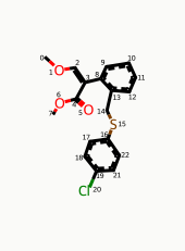 COC=C(C(=O)OC)c1ccccc1CSc1ccc(Cl)cc1